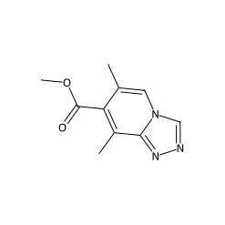 COC(=O)c1c(C)cn2cnnc2c1C